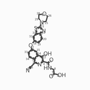 N#Cc1nc(C(=O)NCC(=O)O)c(O)c2cc(Oc3ccc4nc(N5CCOCC5)sc4c3)ccc12